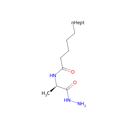 CCCCCCCCCCCC(=O)N[C@H](C)C(=O)NN